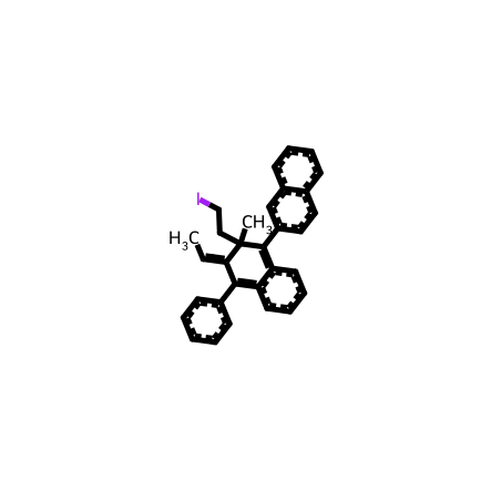 C/C=C1/C(c2ccccc2)=c2ccccc2=C(c2ccc3ccccc3c2)C1(C)CCI